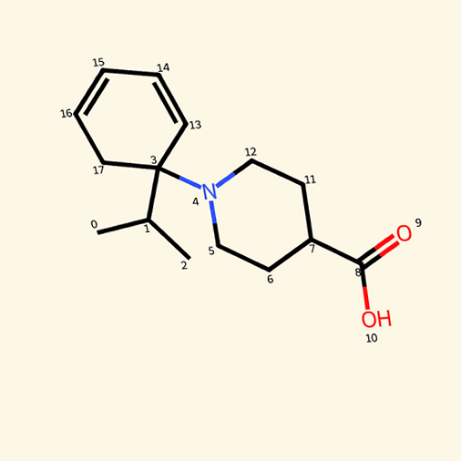 CC(C)C1(N2CCC(C(=O)O)CC2)C=CC=CC1